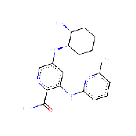 COc1cccc(Nc2cc(N[C@@H]3CCCC[C@@H]3N)cnc2C(N)=O)n1